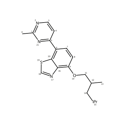 Cc1nccc(-c2ccc(OCC(C)CC(C)C)c3ncsc23)n1